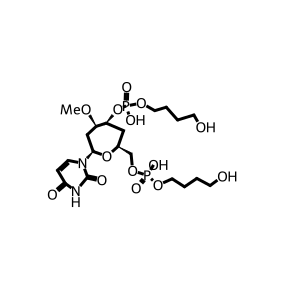 CO[C@@H]1C[C@H](n2ccc(=O)[nH]c2=O)O[C@H](COP(=O)(O)OCCCCO)C[C@@H]1OP(=O)(O)OCCCCO